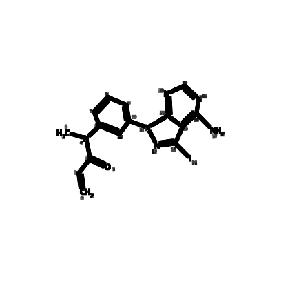 C=CC(=O)N(C)c1cccc(-n2nc(I)c3c(N)ncnc32)c1